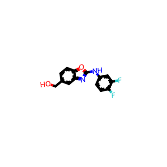 OCc1ccc2oc(Nc3ccc(F)c(F)c3)nc2c1